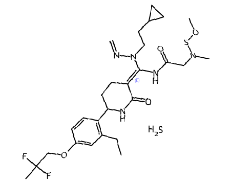 C=NN(CCC1CC1)/C(NC(=O)CN(C)SOC)=C1\CCC(c2ccc(OCC(C)(F)F)cc2CC)NC1=O.S